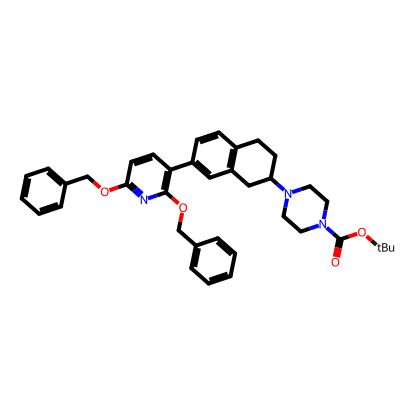 CC(C)(C)OC(=O)N1CCN(C2CCc3ccc(-c4ccc(OCc5ccccc5)nc4OCc4ccccc4)cc3C2)CC1